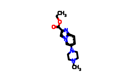 CCOC(=O)c1cn2cc(N3CCN(C)CC3)ccc2n1